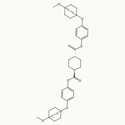 COC12CCC(Oc3ccc(OC(=O)[C@H]4CC[C@H](C(=O)Oc5ccc(OC67CCC(OC)(CC6)CC7)cc5)CC4)cc3)(CC1)CC2